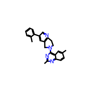 Cc1ccc2nc(C)nc(N3CCc4ncc(-c5ccccc5C)cc4C3)c2c1